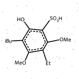 CCc1c(OC)c(C(C)CC)c(O)c(S(=O)(=O)O)c1OC